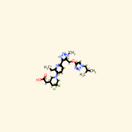 CCc1nc(-c2nnn(C)c2COc2cn(CC(C)C)nn2)ccc1N1CC(CC(=O)O)CC(F)(F)C1